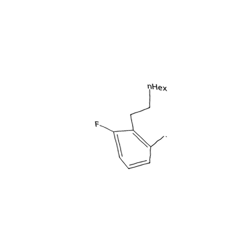 [CH2]c1cccc(F)c1CCCCCCCC